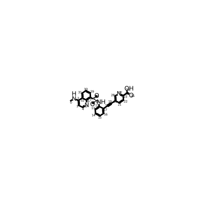 CNc1ccnc2c(S(=O)(=O)Nc3ccccc3C#Cc3ccc(C(=O)O)nc3)cccc12